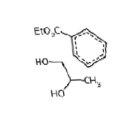 CC(O)CO.CCOC(=O)c1ccccc1